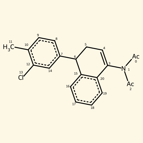 CC(=O)N(C(C)=O)C1=CCC(c2ccc(C)c(Cl)c2)c2ccccc21